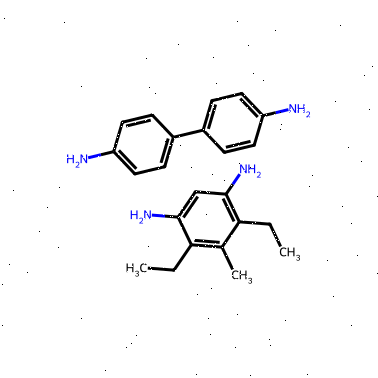 CCc1c(N)cc(N)c(CC)c1C.Nc1ccc(-c2ccc(N)cc2)cc1